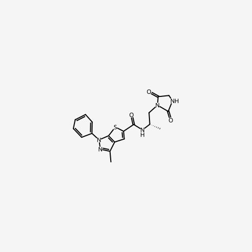 Cc1nn(-c2ccccc2)c2sc(C(=O)N[C@@H](C)CN3C(=O)CNC3=O)cc12